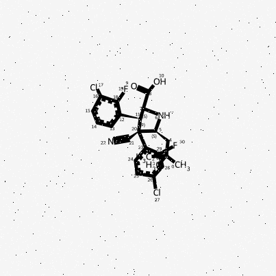 CC(C)(C)C[C@@H]1NC(C(=O)O)[C@H](c2cccc(Cl)c2F)[C@@]1(C#N)c1ccc(Cl)cc1F